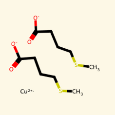 CSCCCC(=O)[O-].CSCCCC(=O)[O-].[Cu+2]